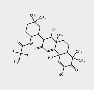 CCCC1C(C2CC(C)(C)CCC2NC(=O)C(C)(F)F)C(=O)C=C2C3(C)C=C(C#N)C(=O)C(C)(C)C3CCC21C